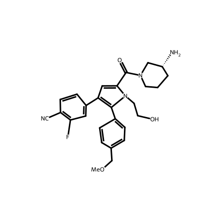 COCc1ccc(-c2c(-c3ccc(C#N)c(F)c3)cc(C(=O)N3CCC[C@@H](N)C3)n2CCO)cc1